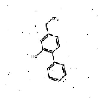 BCc1ccc(-c2ccccc2)c(O)c1